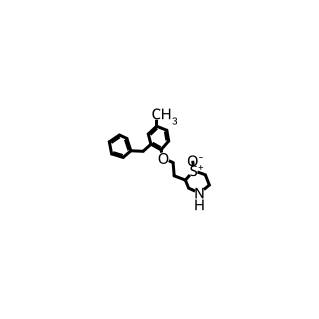 Cc1ccc(OCCC2CNCC[S+]2[O-])c(Cc2ccccc2)c1